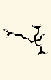 CCCC(=O)OCCCOCC(CO)(COC(=O)CC)COC(=O)CC